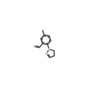 Cc1ccc(N2CCC=N2)c(C=O)c1